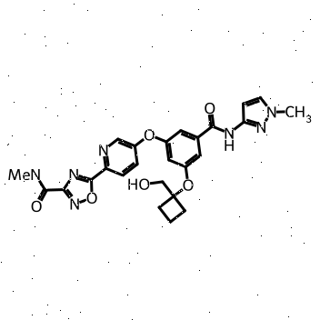 CNC(=O)c1noc(-c2ccc(Oc3cc(OC4(CO)CCC4)cc(C(=O)Nc4ccn(C)n4)c3)cn2)n1